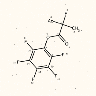 CC(=O)C(C)(F)C(=O)Oc1c(F)c(F)c(F)c(F)c1F